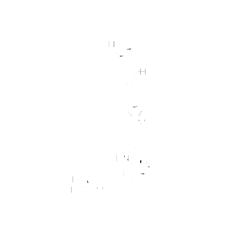 C=C(C)C(=O)OCCCCCNC(=O)OC(COCCOc1ccc(OCCOCC(O)COC(=O)C(=C)C)cc1)COC(=O)C(=C)C